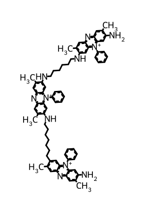 Cc1cc2nc3cc(C)c(CCCCCCCNc4cc5c(cc4C)nc4cc(C)c(NCCCCCCNc6cc7c(cc6C)nc6cc(C)c(N)cc6[n+]7-c6ccccc6)cc4[n+]5-c4ccccc4)cc3[n+](-c3ccccc3)c2cc1N